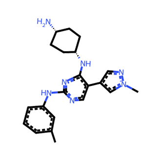 Cc1cccc(Nc2ncc(-c3cnn(C)c3)c(N[C@H]3CC[C@@H](N)CC3)n2)c1